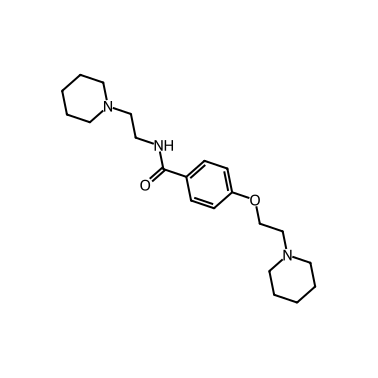 O=C(NCCN1CCCCC1)c1ccc(OCCN2CCCCC2)cc1